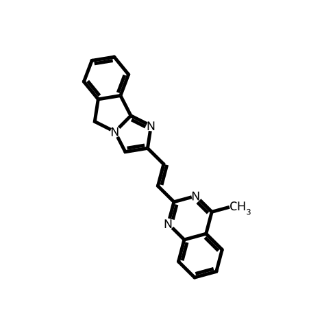 Cc1nc(C=Cc2cn3c(n2)-c2ccccc2C3)nc2ccccc12